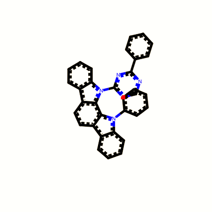 c1ccc(-c2ncnc(-n3c4ccccc4c4ccc5c6ccccc6n(-c6ccccc6)c5c43)n2)cc1